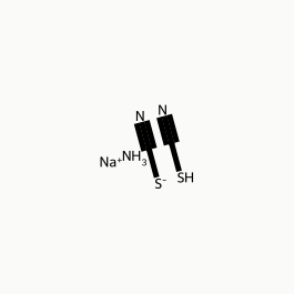 N.N#CS.N#C[S-].[Na+]